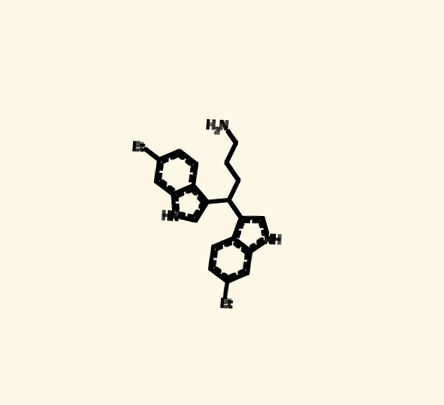 CCc1ccc2c(C(CCCN)c3c[nH]c4cc(CC)ccc34)c[nH]c2c1